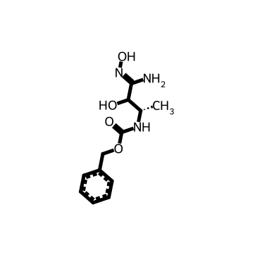 C[C@H](NC(=O)OCc1ccccc1)C(O)/C(N)=N/O